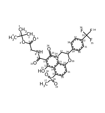 CC(C)(C)OC(=O)CNC(=O)c1c(O)c2c(S(C)(=O)=O)ccc3c2n(c1=O)CC(c1ccc(C(F)(F)F)cc1)O3